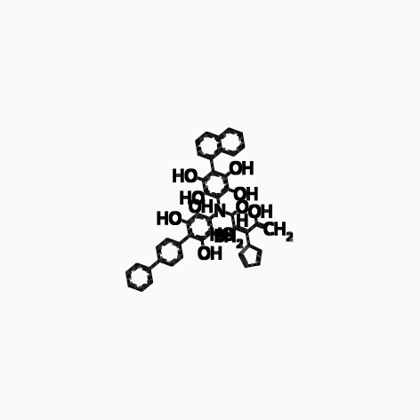 Bc1c(O)c(-c2ccc(-c3ccccc3)cc2)c(O)c(O)c1N(c1c(O)c(O)c(-c2cccc3ccccc23)c(O)c1O)C(O)/C(O)=C(\C(=C)O)C1C=CC=C1